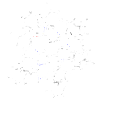 Cc1ccc2c(c1)c1ccccc1n2-c1c(-c2cc(-c3ccccc3)nc(-c3ccccc3)n2)c(-n2c3ccccc3c3cc(C)ccc32)c(-n2c3ccccc3c3cc(C)ccc32)c(-n2c3ccccc3c3cc(C)ccc32)c1-c1nc2ccccc2o1